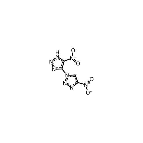 O=[N+]([O-])c1cn(-c2nn[nH]c2[N+](=O)[O-])nn1